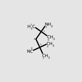 CC(C)(N)CC(C)(C)C#N